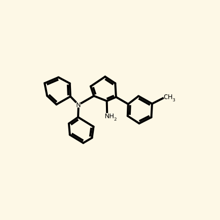 Cc1cccc(-c2cccc(N(c3ccccc3)c3ccccc3)c2N)c1